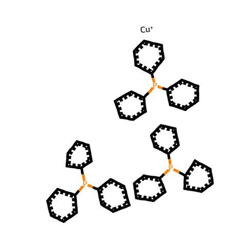 [Cu+].c1ccc(P(c2ccccc2)c2ccccc2)cc1.c1ccc(P(c2ccccc2)c2ccccc2)cc1.c1ccc(P(c2ccccc2)c2ccccc2)cc1